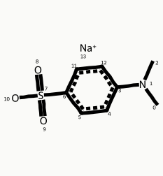 CN(C)c1ccc(S(=O)(=O)[O-])cc1.[Na+]